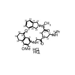 COc1cc2c(cc1NCC(=O)N(CCNC(C)C)CC(=O)N(C)N1Cc3ccccc3C1)C(=O)CCC2.Cl.Cl